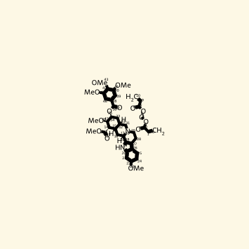 C=CC(=O)OOOC(=O)C=C.COC(=O)[C@H]1[C@H]2C[C@@H]3c4[nH]c5cc(OC)ccc5c4CCN3C[C@H]2C[C@@H](OC(=O)c2cc(OC)c(OC)c(OC)c2)[C@@H]1OC